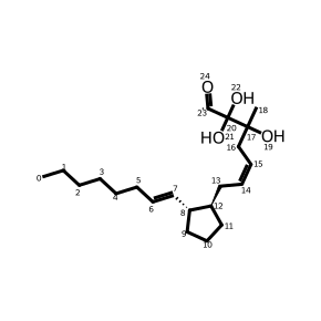 CCCCCC/C=C/[C@H]1CCC[C@@H]1C/C=C\CC(C)(O)C(O)(O)[C]=O